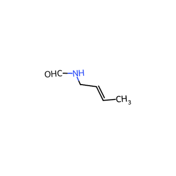 CC=CCNC=O